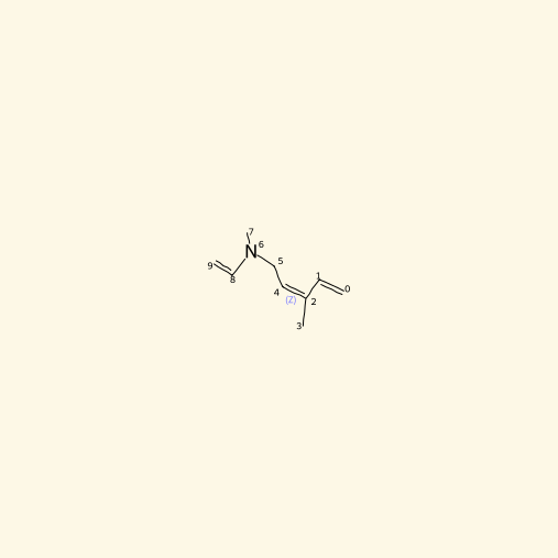 C=C/C(C)=C\CN(C)C=C